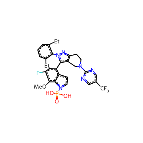 CCc1cccc(CC)c1-n1nc2c(c1-c1cc(F)c(OC)c3c1ccn3P(=O)(O)O)CN(c1ncc(C(F)(F)F)cn1)CC2